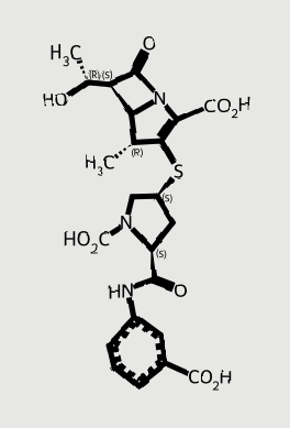 C[C@H]1C(S[C@H]2C[C@@H](C(=O)Nc3cccc(C(=O)O)c3)N(C(=O)O)C2)=C(C(=O)O)N2C(=O)[C@H]([C@@H](C)O)C12